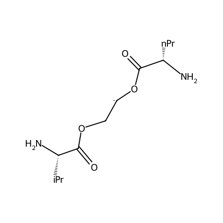 CCC[C@H](N)C(=O)O[CH]COC(=O)[C@@H](N)C(C)C